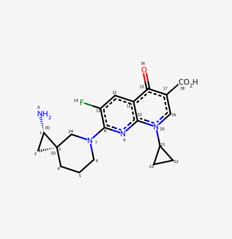 N[C@H]1C[C@]12CCCN(c1nc3c(cc1F)c(=O)c(C(=O)O)cn3C1CC1)C2